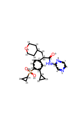 O=C(Nc1cnccn1)[C@H](CC1CCOCC1)c1ccc(S(=O)(=O)C2CC2)c(C2CC2)c1